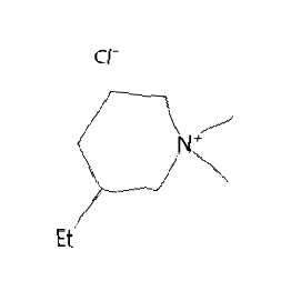 CCC1CCC[N+](C)(C)C1.[Cl-]